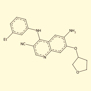 CCc1cccc(Nc2c(C#N)cnc3cc(OC4CCOC4)c(N)cc23)c1